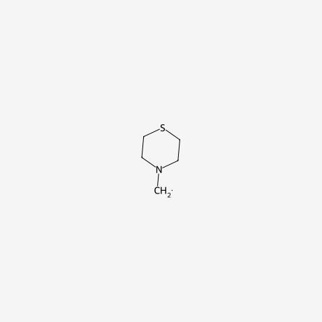 [CH2]N1CCSCC1